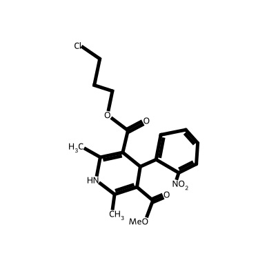 COC(=O)C1=C(C)NC(C)=C(C(=O)OCCCCl)C1c1ccccc1[N+](=O)[O-]